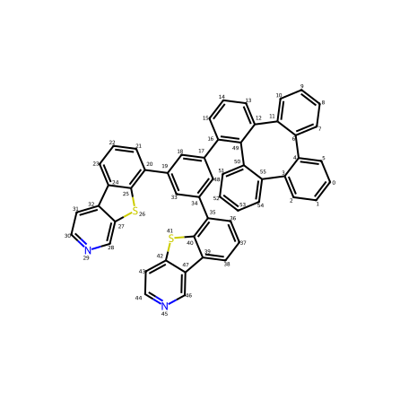 c1ccc2c(c1)-c1ccccc1-c1cccc(-c3cc(-c4cccc5c4sc4cnccc45)cc(-c4cccc5c4sc4ccncc45)c3)c1-c1ccccc1-2